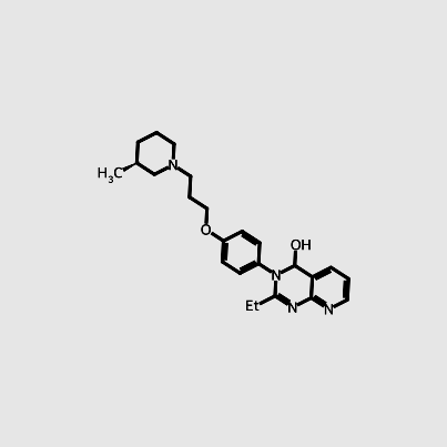 CCC1=Nc2ncccc2C(O)N1c1ccc(OCCCN2CCC[C@H](C)C2)cc1